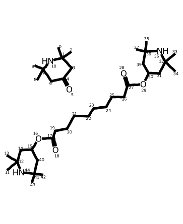 CC1(C)CC(=O)CC(C)(C)N1.CC1(C)CC(OC(=O)CCCCCCCCC(=O)OC2CC(C)(C)NC(C)(C)C2)CC(C)(C)N1